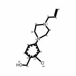 C=CCN1CCN(c2ccc(CO)c(Cl)c2)CC1